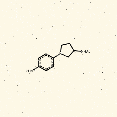 CC(=O)NC1CCN(c2ccc(N)cc2)C1